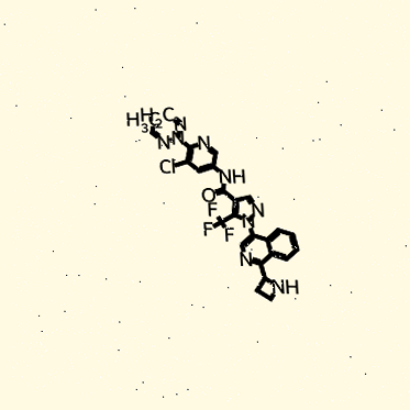 C=NN(/N=C\C)c1ncc(NC(=O)c2cnn(-c3cnc(C4CCN4)c4ccccc34)c2C(F)(F)F)cc1Cl